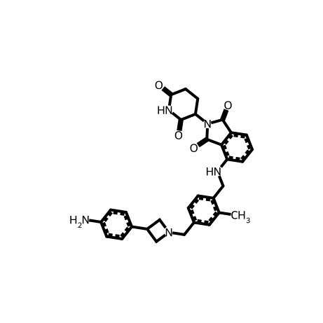 Cc1cc(CN2CC(c3ccc(N)cc3)C2)ccc1CNc1cccc2c1C(=O)N(C1CCC(=O)NC1=O)C2=O